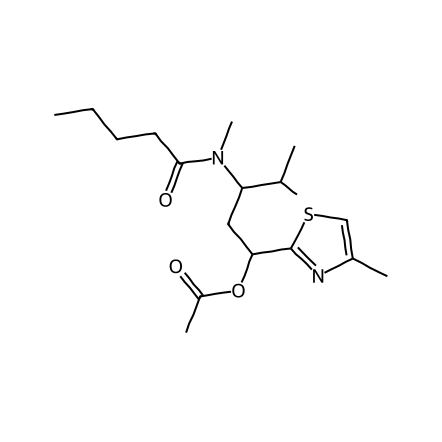 CCCCC(=O)N(C)C(CC(OC(C)=O)c1nc(C)cs1)C(C)C